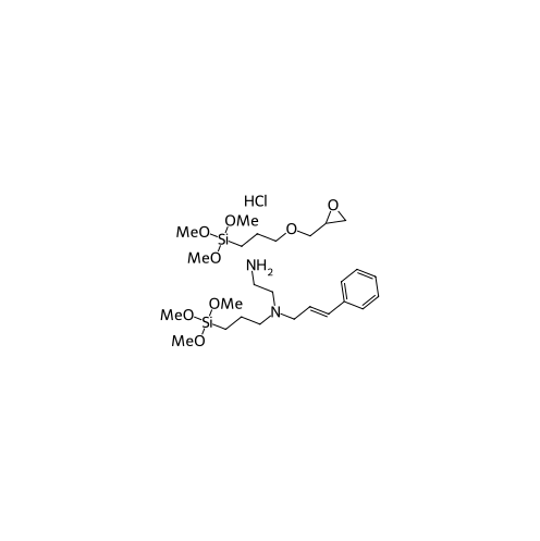 CO[Si](CCCN(CC=Cc1ccccc1)CCN)(OC)OC.CO[Si](CCCOCC1CO1)(OC)OC.Cl